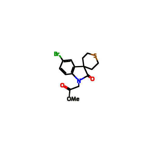 COC(=O)CN1C(=O)C2(CCSCC2)c2cc(Br)ccc21